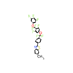 Cc1ccc2nc(-c3ccc(C(F)(F)Oc4cc(F)c(C(F)(F)Oc5cc(F)c(F)c(F)c5)c(F)c4)cc3)sc2c1